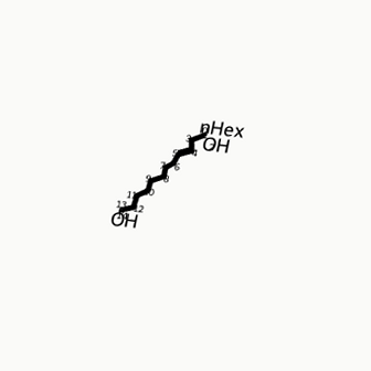 CCCCCC[C@@H](O)CC=CCCCCCCCCO